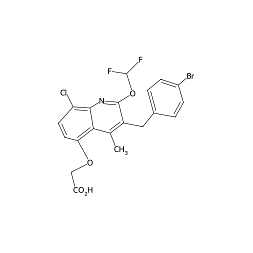 Cc1c(Cc2ccc(Br)cc2)c(OC(F)F)nc2c(Cl)ccc(OCC(=O)O)c12